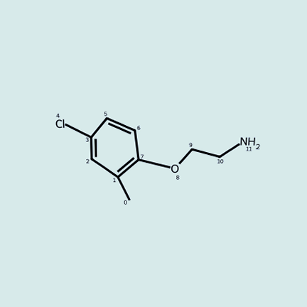 Cc1cc(Cl)ccc1OCCN